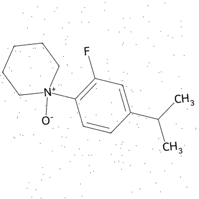 CC(C)c1ccc([N+]2([O-])CCCCC2)c(F)c1